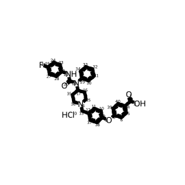 Cl.O=C(O)c1ccc(Oc2ccc(CN3CCC(N(C(=O)Nc4ccc(F)cc4)c4ccccc4)CC3)cc2)cc1